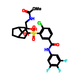 COC(=O)NCC(O)C1(O)C2CCC1CC(S(=O)(=O)c1cc(C(=O)Nc3cc(F)c(F)c(F)c3)ccc1Cl)C2